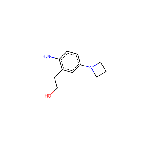 Nc1ccc(N2CCC2)cc1CCO